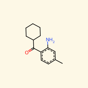 Cc1ccc(C(=O)C2CCCCC2)c(N)c1